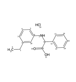 CCc1cccc(NC(C(=O)O)c2ccccc2)c1.Cl